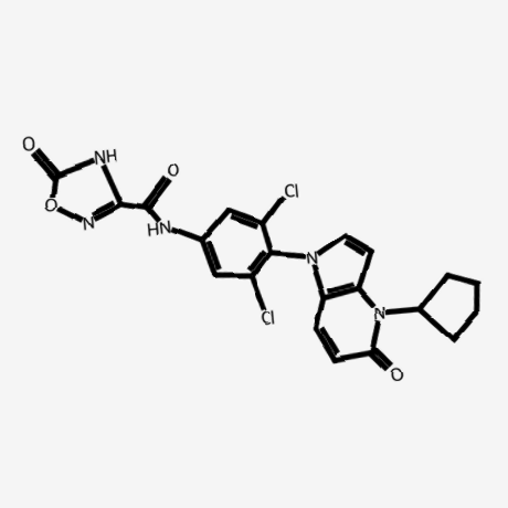 O=C(Nc1cc(Cl)c(-n2ccc3c2ccc(=O)n3C2CCCC2)c(Cl)c1)c1noc(=O)[nH]1